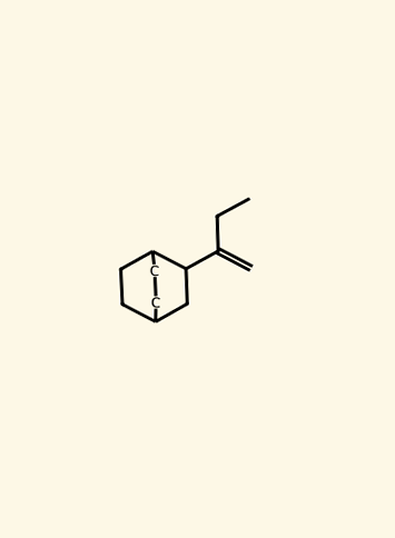 C=C(CC)C1CC2CCC1CC2